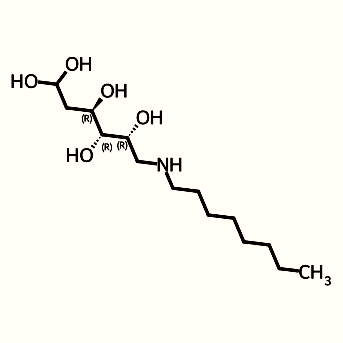 CCCCCCCCNC[C@@H](O)[C@H](O)[C@H](O)CC(O)O